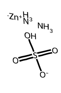 N.N.O=S(=O)([O-])O.[Zn+]